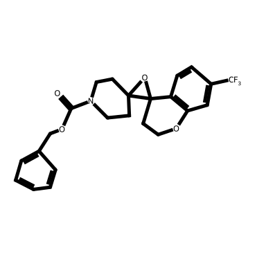 O=C(OCc1ccccc1)N1CCC2(CC1)OC21CCOc2cc(C(F)(F)F)ccc21